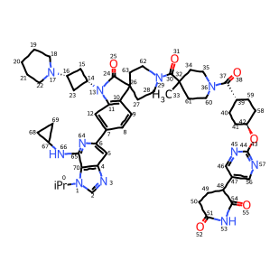 CC(C)n1cnc2cc(-c3ccc4c(c3)N([C@H]3C[C@@H](N5CCCCC5)C3)C(=O)C43CCN(C(=O)C4(C)CCN(C(=O)[C@H]5CC[C@H](Oc6ncc(C7CCC(=O)NC7=O)cn6)CC5)CC4)CC3)nc(NC3CC3)c21